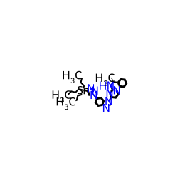 CCC[CH2][Sn]([CH2]CCC)([CH2]CCC)[c]1cn(-c2ccc3ncn(-c4ccnc(N[C@@H](C)c5ccccc5)n4)c3c2)nn1